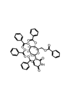 O=C(OC[C@H]1O[C@@H](n2ccc(=O)[nH]c2=O)[C@H](OC(=O)c2ccccc2)[C@H](OC(=O)c2ccccc2)[C@@H](OC(=O)c2ccccc2)[C@@H]1OC(=O)c1ccccc1)c1ccccc1